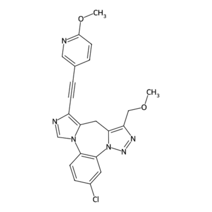 COCc1nnn2c1Cc1c(C#Cc3ccc(OC)nc3)ncn1-c1ccc(Cl)cc1-2